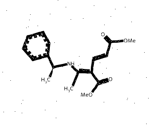 COC(=O)/C=C/C(C(=O)OC)=C(/C)N[C@@H](C)c1ccccc1